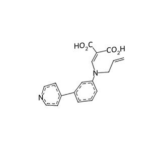 C=CCN(C=C(C(=O)O)C(=O)O)c1cccc(-c2ccncc2)c1